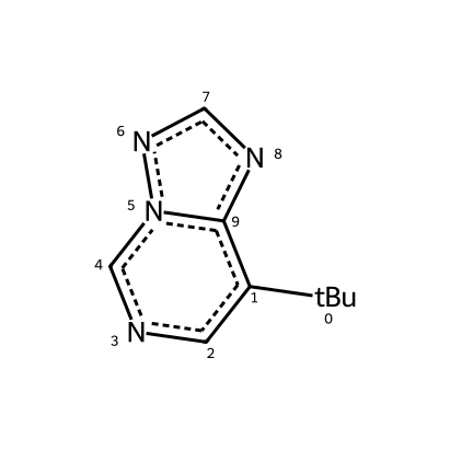 CC(C)(C)c1cncn2ncnc12